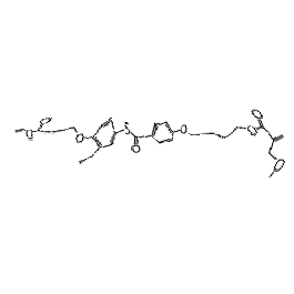 C=COC(=O)CCOc1ccc(SC(=O)c2ccc(OCCCCOC(=O)C(=C)COC)cc2)cc1CC